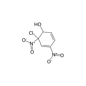 O=[N+]([O-])C1=CC(Cl)([N+](=O)[O-])C(O)C=C1